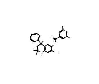 CC(=O)N1c2cc(O)c(NC(=O)c3cc(C)cc(C)c3)cc2C(C)(c2ccccc2)CC1(C)C